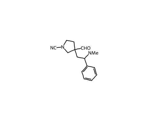 CNC(CC1(C=O)CCN(C#N)C1)c1ccccc1